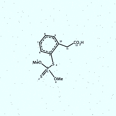 COP(=S)(OC)Sc1ccccc1CC(=O)O